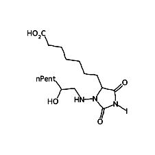 CCCCCC(O)CNN1C(=O)N(I)C(=O)C1CCCCCCC(=O)O